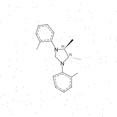 Cc1ccccc1N1CN(c2ccccc2C)[C@@H](C)[C@@H]1C